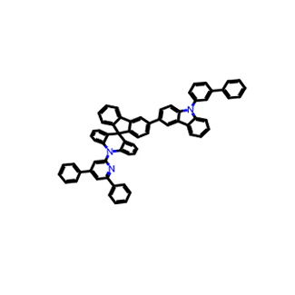 c1ccc(-c2cccc(-n3c4ccccc4c4cc(-c5ccc6c(c5)-c5ccccc5C65c6ccccc6N(c6cc(-c7ccccc7)cc(-c7ccccc7)n6)c6ccccc65)ccc43)c2)cc1